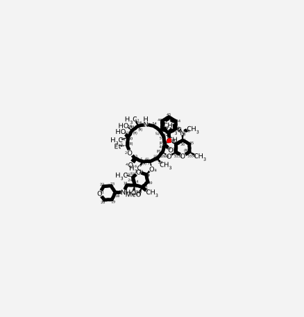 CC[C@H]1OC(=O)[C@H](C)[C@@H](O[C@H]2C[C@@](C)(OC)[C@](O)(CNC3CCOCC3)[C@H](C)O2)[C@H](C)[C@@H](O[C@@H]2O[C@H](C)C[C@H](N(C)C)[C@H]2Oc2ccccc2)[C@](C)(O)C[C@@H](C)CN[C@H](C)[C@@H](O)[C@]1(C)O